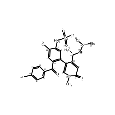 CCS(=O)(=O)Nc1cc(-c2cn(C)c(=O)cc2[C@H](C)N[S@@+]([O-])C(C)(C)C)c(C(=O)c2ccc(F)cc2)cc1Cl